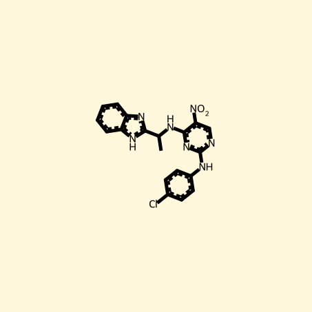 CC(Nc1nc(Nc2ccc(Cl)cc2)ncc1[N+](=O)[O-])c1nc2ccccc2[nH]1